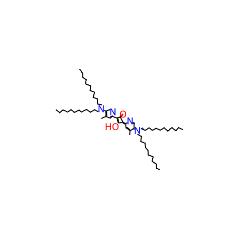 CCCCCCCCCCCCN(CCCCCCCCCCCC)c1cnc(C2=C(O)/C(=C3\C=C(C)C(=[N+](CCCCCCCCCCCC)CCCCCCCCCCCC)C=N3)C2=O)cc1C